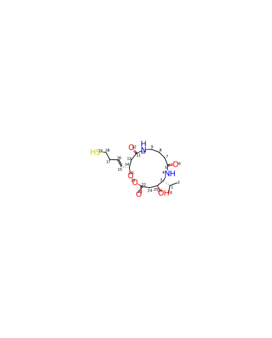 CC(C)[C@H]1NC(=O)CCCNC(=O)C[C@@H](/C=C/CCS)OOC(=O)C[C@@H]1O